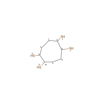 SC1CCC(S)C(S)CCC1S